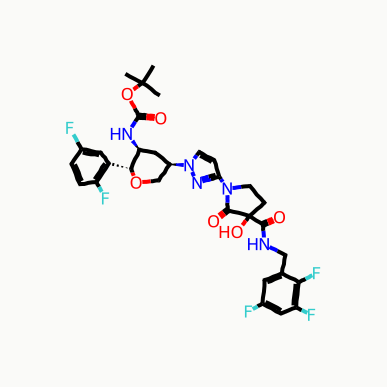 CC(C)(C)OC(=O)N[C@H]1C[C@@H](n2ccc(N3CCC(O)(C(=O)NCc4cc(F)cc(F)c4F)C3=O)n2)CO[C@@H]1c1cc(F)ccc1F